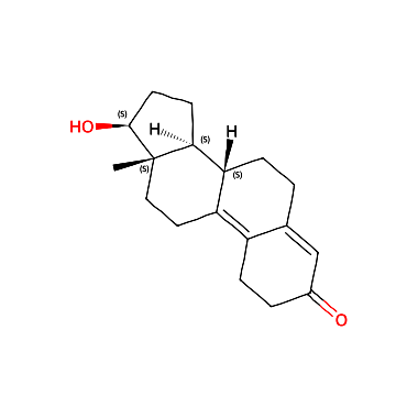 C[C@]12CCC3=C4CCC(=O)C=C4CC[C@H]3[C@@H]1CC[C@@H]2O